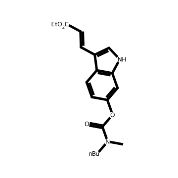 CCCCN(C)C(=O)Oc1ccc2c(/C=C/C(=O)OCC)c[nH]c2c1